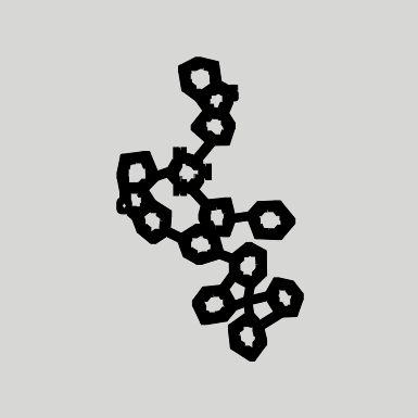 c1ccc(-c2cccc(-c3nc(-c4ccc5sc6ccccc6c5c4)nc(-c4cccc5oc6ccc(-c7ccc(-c8cccc9c8-c8ccccc8C98c9ccccc9-c9ccccc98)cc7)cc6c45)n3)c2)cc1